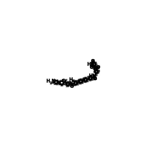 C=C1CC(N2CCC(C)(N)CC2)C=C=CC1C(C)c1cccc(NC(=O)c2ccc(N3CCC(N4CC=C(c5ccc(C(=O)NCc6ccc7c(c6)CN(C6CCC(=O)NC6=O)C7=O)cc5)CC4)CC3)cc2C)c1